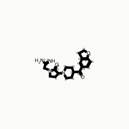 N=C(N)CN1CCC(N2CCC(C(=O)c3ccc4c(c3)CCO4)CC2)C1=O